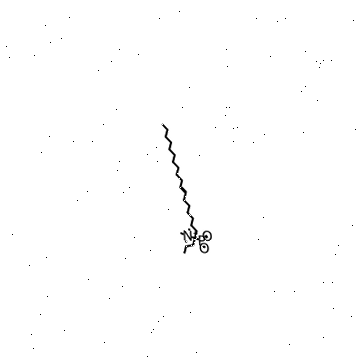 CCCCCCCCCCC=CCCCCCCC(CCC)(P(=O)=O)[N+](C)(C)C